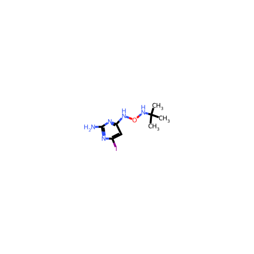 CC(C)(C)NONc1cc(I)nc(N)n1